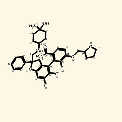 CC1(O)CCC(NC[C@@]2(c3ccccc3)Cc3c(cc(F)c(Cl)c3-c3c(C(N)=O)ccc(OCC4CCCO4)c3F)O2)CC1